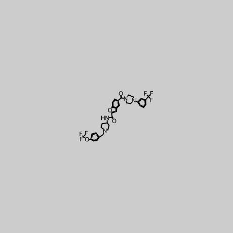 O=C(NC1CCN(Cc2ccc(OC(F)(F)F)cc2)CC1)c1cc2cc(C(=O)N3CCN(c4cccc(C(F)(F)F)c4)CC3)ccc2o1